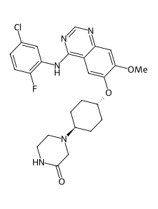 COc1cc2ncnc(Nc3cc(Cl)ccc3F)c2cc1O[C@H]1CC[C@H](N2CCNC(=O)C2)CC1